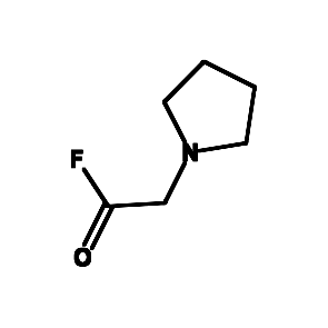 O=C(F)CN1CCCC1